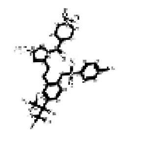 C[C@@H]1CC(CCc2cc(C(F)(C(F)(F)F)C(F)(F)F)ccc2CS(=O)(=O)c2ccc(F)cc2)N(C(=O)C2CCS(=O)(=O)CC2)C1